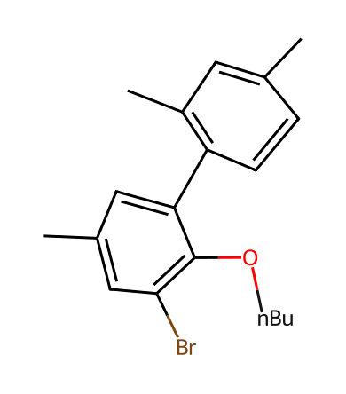 CCCCOc1c(Br)cc(C)cc1-c1ccc(C)cc1C